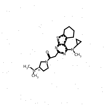 CN(c1nc(CC(=O)N2CC[C@@H](N(C)C)C2)nc2sc3c(c12)CCCC3)C1CC1